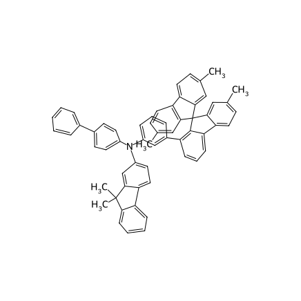 Cc1ccc2c(c1)C1(c3cc(C)ccc3-2)c2cc(C)ccc2-c2cccc(-c3cccc(N(c4ccc(-c5ccccc5)cc4)c4ccc5c(c4)C(C)(C)c4ccccc4-5)c3)c21